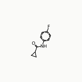 O=C(Nc1ccc(F)cc1)[C]1CC1